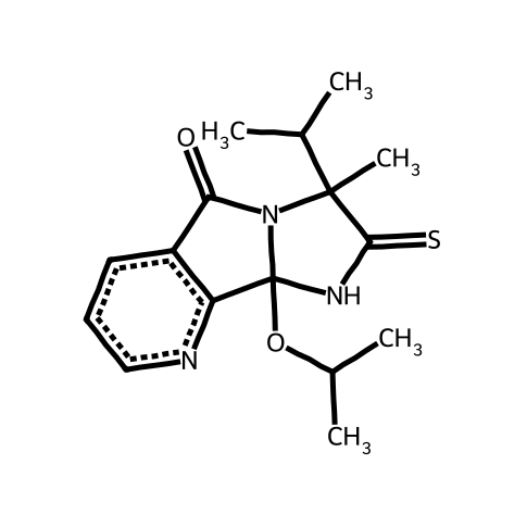 CC(C)OC12NC(=S)C(C)(C(C)C)N1C(=O)c1cccnc12